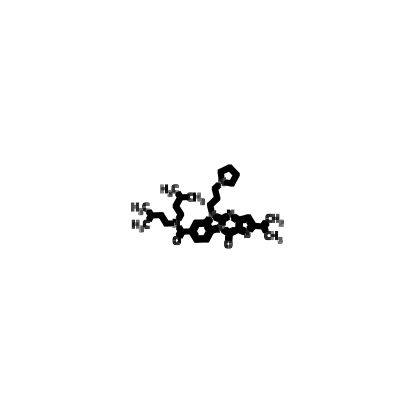 C=C(C)c1cc2nc3n(CCCN4CCCC4)c4cc(C(=O)N(CCC(C)C)CCC(C)C)ccc4n3c(=O)c2s1